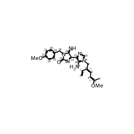 C=C/C(=C\C=C(/C)OC)Cn1cnc(C2=NC(=O)N(Cc3ccc(OC)cc3)C2=N)c1N